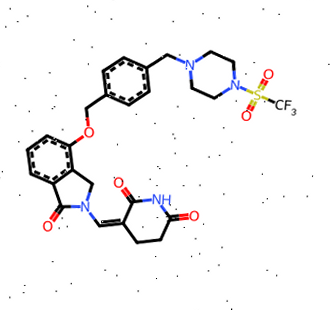 O=C1CC/C(=C/N2Cc3c(OCc4ccc(CN5CCN(S(=O)(=O)C(F)(F)F)CC5)cc4)cccc3C2=O)C(=O)N1